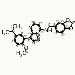 COc1ccc(C(C)C)cc1-c1cnn2c(NCc3ccc4c(c3)OCO4)ccnc12